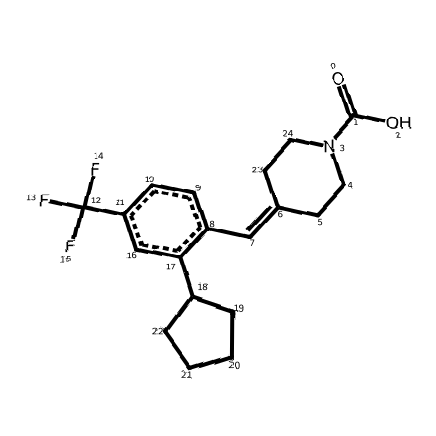 O=C(O)N1CCC(=Cc2ccc(C(F)(F)F)cc2C2CCCC2)CC1